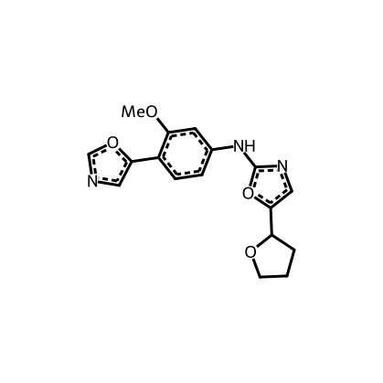 COc1cc(Nc2ncc(C3CCCO3)o2)ccc1-c1cnco1